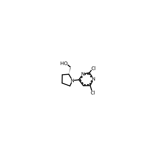 OC[C@H]1CCCN1c1cc(Cl)nc(Cl)n1